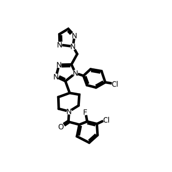 O=C(c1cccc(Cl)c1F)N1CCC(c2nnc(Cn3nccn3)n2-c2ccc(Cl)cc2)CC1